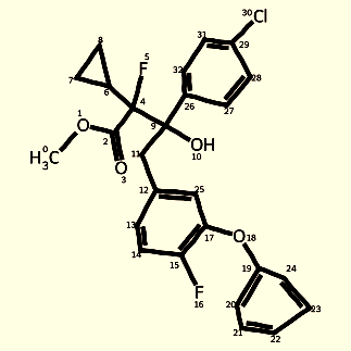 COC(=O)C(F)(C1CC1)C(O)(Cc1ccc(F)c(Oc2ccccc2)c1)c1ccc(Cl)cc1